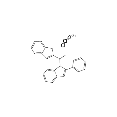 CC(C1=Cc2ccccc2C1)C1C(c2ccccc2)=Cc2ccccc21.[Cl-].[Cl-].[Zr+2]